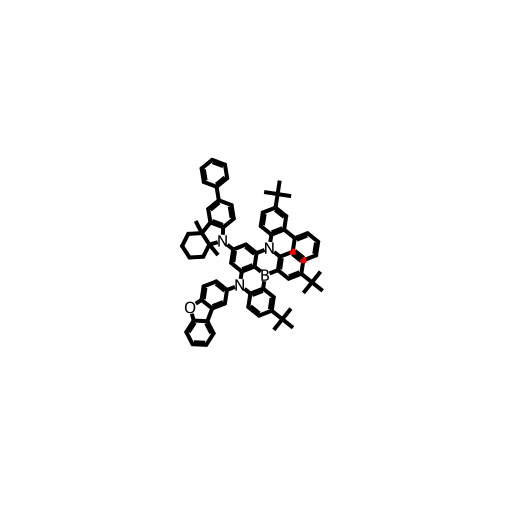 CC(C)(C)c1ccc2c(c1)B1c3cc(C(C)(C)C)ccc3N(c3ccc(C(C)(C)C)cc3-c3ccccc3)c3cc(N4c5ccc(-c6ccccc6)cc5C5(C)CCCCC45C)cc(c31)N2c1ccc2oc3ccccc3c2c1